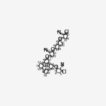 N#Cc1c(Cl)cccc1Oc1ccc(C2(c3ccc(Oc4cccc(Oc5ccc6ccc(Oc7cccc(Cl)c7C#N)cc6c5)c4C#N)cc3)c3ccccc3-c3ccccc32)cc1